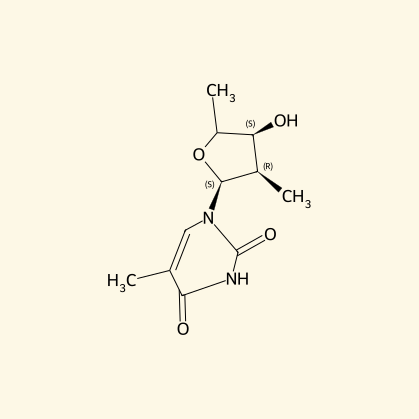 Cc1cn([C@H]2OC(C)[C@@H](O)[C@H]2C)c(=O)[nH]c1=O